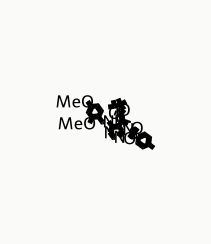 COc1ccc(CNc2ncnc3c2c(B2OC(C)(C)C(C)(C)O2)cn3S(=O)(=O)c2ccc(C)cc2)c(OC)c1